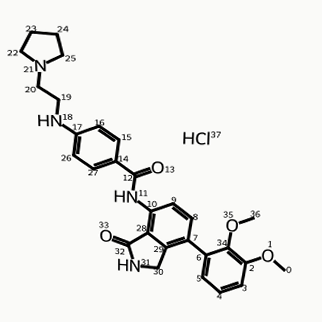 COc1cccc(-c2ccc(NC(=O)c3ccc(NCCN4CCCC4)cc3)c3c2CNC3=O)c1OC.Cl